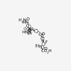 CCn1cc(C(=O)O)c(=O)c2cc(F)c(N3CCN(C(=O)OCc4ccc(NCC(CCCNC(N)=O)NC(=O)C5(C(=O)NC(C)C)CCC5)cc4)CC3)cc21